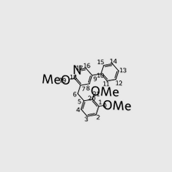 COc1cccc(Cc2cc(-c3ccccc3)cnc2OC)c1OC